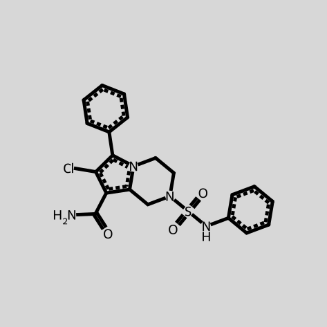 NC(=O)c1c(Cl)c(-c2ccccc2)n2c1CN(S(=O)(=O)Nc1ccccc1)CC2